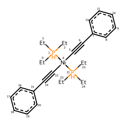 CC[PH](CC)(CC)[Ni]([C]#Cc1ccccc1)([C]#Cc1ccccc1)[PH](CC)(CC)CC